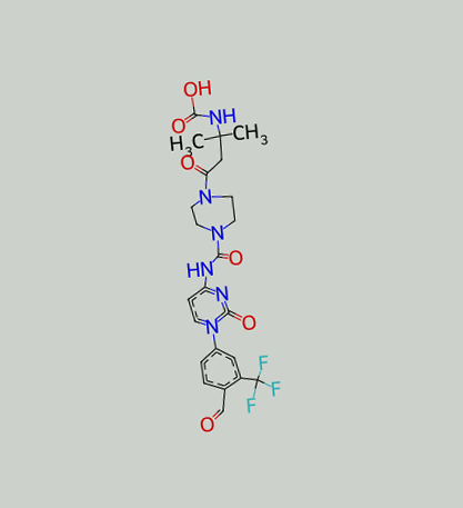 CC(C)(CC(=O)N1CCN(C(=O)Nc2ccn(-c3ccc(C=O)c(C(F)(F)F)c3)c(=O)n2)CC1)NC(=O)O